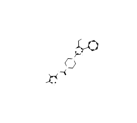 CCc1sc(N2CCN(C(=O)Nc3onc(C)c3C)CC2)nc1-c1ccccc1